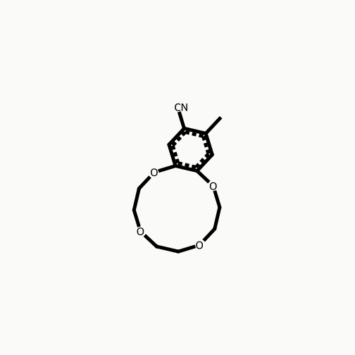 Cc1cc2c(cc1C#N)OCCOCCOCCO2